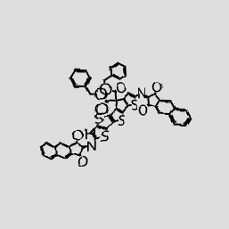 O=C1/C(=N/c2cc3sc4c5c(sc4c3s2)-c2sc(N=c3c(=O)c4cc6ccccc6cc4c3=O)cc2C5(C(=O)OCc2ccccc2)C(=O)OCc2ccccc2)C(O)c2cc3ccccc3cc21